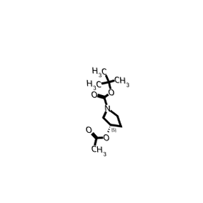 CC(=O)O[C@H]1CCN(C(=O)OC(C)(C)C)C1